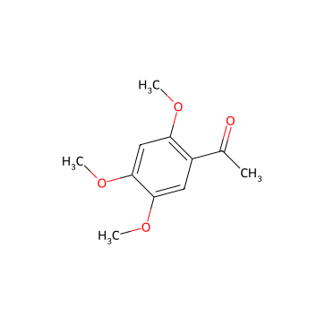 COc1cc(OC)c(C(C)=O)cc1OC